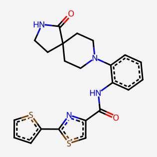 O=C(Nc1ccccc1N1CCC2(CCNC2=O)CC1)c1csc(-c2cccs2)n1